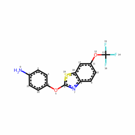 Nc1ccc(Oc2nc3ccc(OC(F)(F)F)cc3s2)cc1